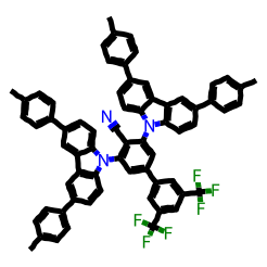 Cc1ccc(-c2ccc3c(c2)c2cc(-c4ccc(C)cc4)ccc2n3-c2cc(-c3cc(C(F)(F)F)cc(C(F)(F)F)c3)cc(-n3c4ccc(-c5ccc(C)cc5)cc4c4cc(-c5ccc(C)cc5)ccc43)c2C#N)cc1